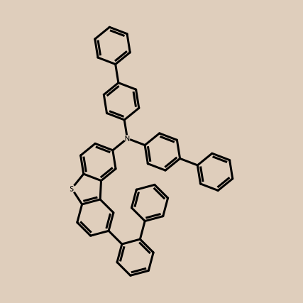 c1ccc(-c2ccc(N(c3ccc(-c4ccccc4)cc3)c3ccc4sc5ccc(-c6ccccc6-c6ccccc6)cc5c4c3)cc2)cc1